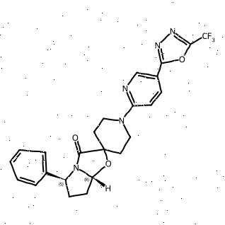 O=C1N2[C@@H](CC[C@H]2c2ccccc2)OC12CCN(c1ccc(-c3nnc(C(F)(F)F)o3)cn1)CC2